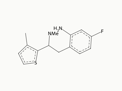 CNC(Cc1ccc(F)cc1N)c1sccc1C